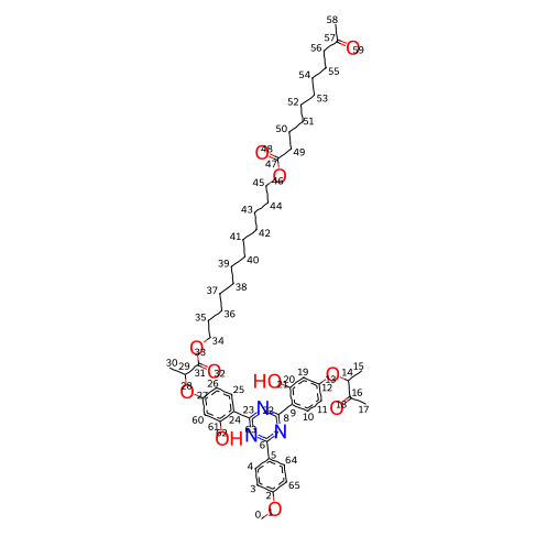 COc1ccc(-c2nc(-c3ccc(OC(C)C(C)=O)cc3O)nc(-c3ccc(OC(C)C(=O)OCCCCCCCCCCCCOC(=O)CCCCCCCCC(C)=O)cc3O)n2)cc1